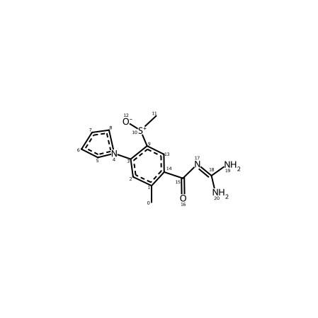 Cc1cc(-n2cccc2)c([S+](C)[O-])cc1C(=O)N=C(N)N